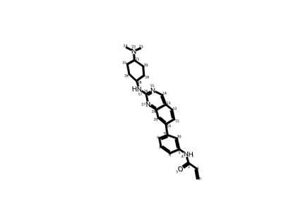 C=CC(=O)Nc1cccc(-c2ccc3cnc(NC4CCC(N(C)C)CC4)nc3c2)c1